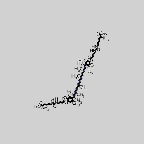 CC1=C(/C=C/C(C)=C/C=C/C(C)=C/C=C/C=C(C)/C=C/C=C(C)/C=C/C2=C(C)C(=O)C(OC(=O)CCCNC(=O)NCCCCC(N)C(=O)O)CC2(C)C)C(C)(C)CC(OC(=O)CCCNC(=O)NCCCCC(N)C(=O)O)C1=O